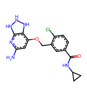 Nc1cc(OCc2cc(C(=O)NC3CC3)ccc2Cl)c2c(n1)NNN2